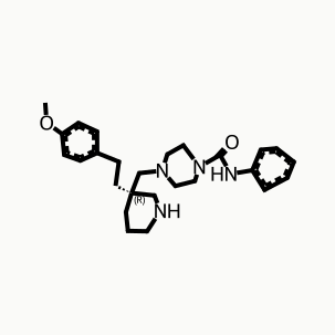 COc1ccc(CC[C@@]2(CN3CCN(C(=O)Nc4ccccc4)CC3)CCCNC2)cc1